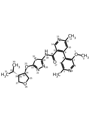 COc1cnc(C)cc1-c1cc(C)ncc1C(=O)Nc1nnc(O[C@H]2COC[C@@H]2C(C)C)s1